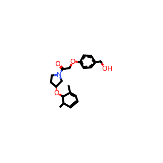 CC1=CC=CC(C)C1O[C@H]1CCN(C(=O)COc2ccc(CO)cc2)C1